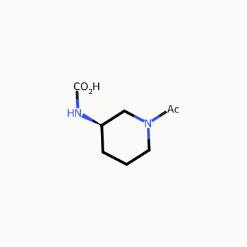 CC(=O)N1CCC[C@@H](NC(=O)O)C1